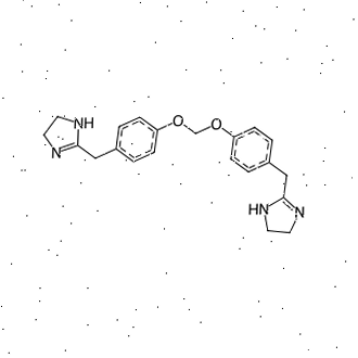 c1cc(OCOc2ccc(CC3=NCCN3)cc2)ccc1CC1=NCCN1